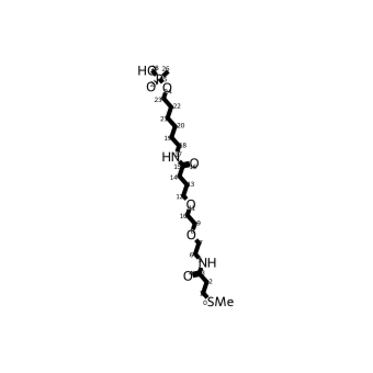 CSCCC(=O)NCCOCCOCCCC(=O)NCCCCCCOP(C)(=O)O